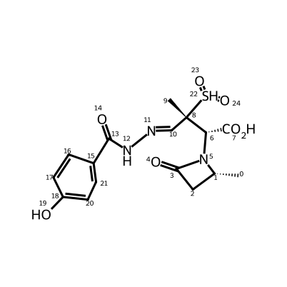 C[C@@H]1CC(=O)N1[C@@H](C(=O)O)[C@](C)(/C=N/NC(=O)c1ccc(O)cc1)[SH](=O)=O